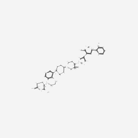 Nc1nnc(-c2ccccc2O)cc1-c1cnn([C@@H]2CCN(C3CCC(c4cccc5c4OCCN5[C@@H]4CCC(=O)NC4=O)CC3)CC2(F)F)c1